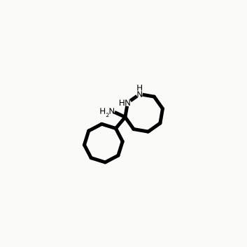 NC1(C2CCCCCCC2)CCCCCNN1